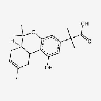 CC1=CC[C@@H]2C(C1)c1c(O)cc(C(C)(C)C(=O)O)cc1OC2(C)C